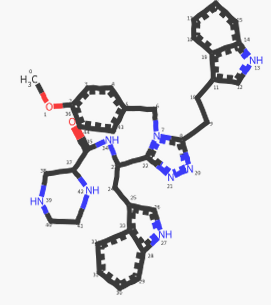 COc1ccc(Cn2c(CCc3c[nH]c4ccccc34)nnc2C(Cc2c[nH]c3ccccc23)NC(=O)C2CNCCN2)cc1